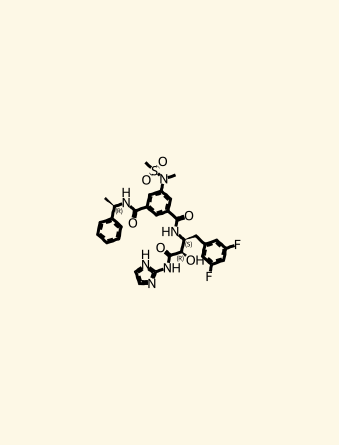 C[C@@H](NC(=O)c1cc(C(=O)N[C@@H](Cc2cc(F)cc(F)c2)[C@@H](O)C(=O)Nc2ncc[nH]2)cc(N(C)S(C)(=O)=O)c1)c1ccccc1